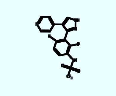 O=S(=O)(Nc1ccc(F)c(-c2n[nH]cc2-c2ccncc2)c1F)C(F)(F)F